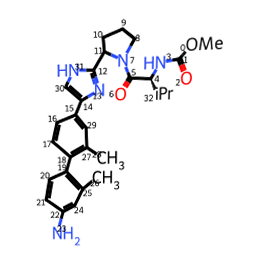 COC(=O)N[C@H](C(=O)N1CCCC1c1nc(-c2ccc(-c3ccc(N)cc3C)c(C)c2)c[nH]1)C(C)C